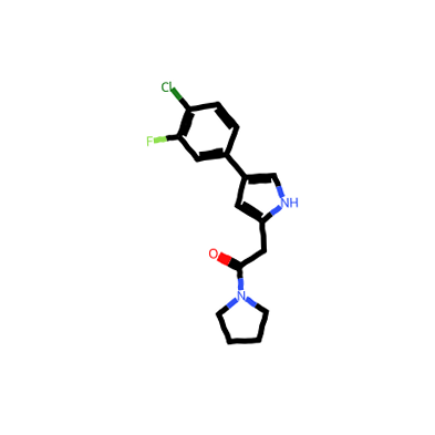 O=C(Cc1cc(-c2ccc(Cl)c(F)c2)c[nH]1)N1CCCC1